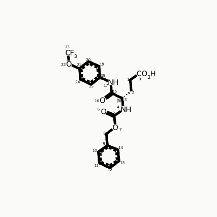 O=C(O)CC[C@H](NC(=O)OCc1ccccc1)C(=O)Nc1ccc(OC(F)(F)F)cc1